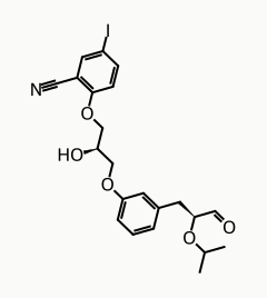 CC(C)O[C@H](C=O)Cc1cccc(OC[C@@H](O)COc2ccc(I)cc2C#N)c1